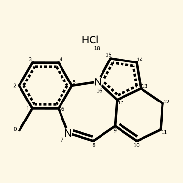 Cc1cccc2c1N=CC1=CCCc3ccn-2c31.Cl